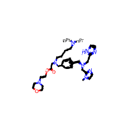 CCCN(CCC)CCCCN(CC(=O)OCCN1CCOCC1)Cc1ccc(CN(Cc2ncc[nH]2)Cc2nccn2C)cc1